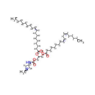 CCCCC/C=C\C/C=C\CCCCCCCC(=O)OCC(COC(=O)NC1CN(C)C1)OC(=O)CCCCCCC/C=C\CCCCCCCC